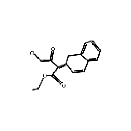 CCOC(=O)C(C(=O)CCl)=C1C=Cc2ccccc2C1